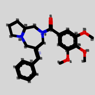 COc1cc(C(=O)N2C/C(=C/c3ccccc3)CN3CCCC3C2)cc(OC)c1OC